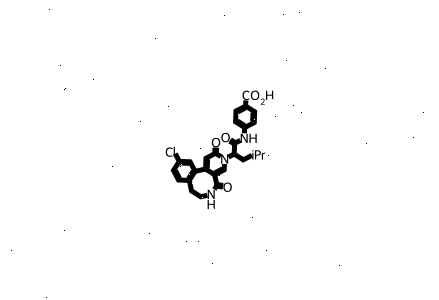 CC(C)CC(C(=O)Nc1ccc(C(=O)O)cc1)n1cc2c(cc1=O)-c1cc(Cl)ccc1CCNC2=O